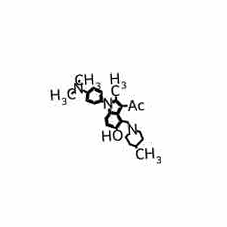 CC(=O)c1c(C)n(-c2ccc(N(C)C)cc2)c2ccc(O)c(CN3CCC(C)CC3)c12